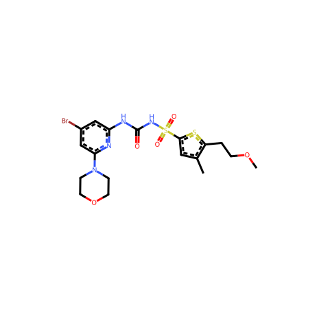 COCCc1sc(S(=O)(=O)NC(=O)Nc2cc(Br)cc(N3CCOCC3)n2)cc1C